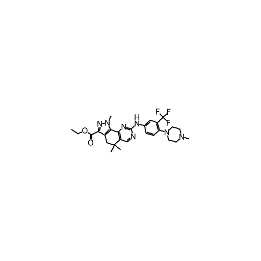 CCOC(=O)c1nn(C)c2c1CC(C)(C)c1cnc(Nc3ccc(N4CCN(C)CC4)c(C(F)(F)F)c3)nc1-2